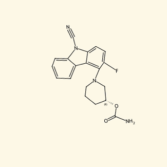 N#Cn1c2ccccc2c2c(N3CCC[C@@H](OC(N)=O)C3)c(F)ccc21